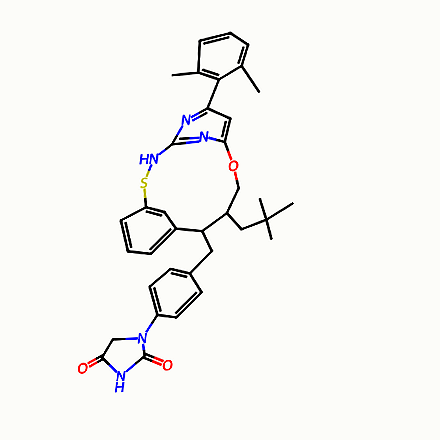 Cc1cccc(C)c1-c1cc2nc(n1)NSc1cccc(c1)C(Cc1ccc(N3CC(=O)NC3=O)cc1)C(CC(C)(C)C)CO2